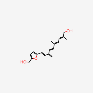 C=C(/C=C/C(C)=C/C=C(\C)CO)/C=C/c1ccc(CO)o1